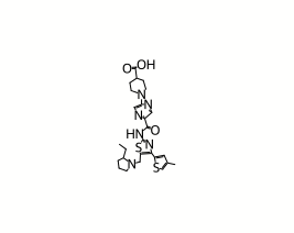 CCC1CCCN1Cc1sc(NC(=O)c2cnc(N3CCC(C(=O)O)CC3)cn2)nc1-c1cc(C)cs1